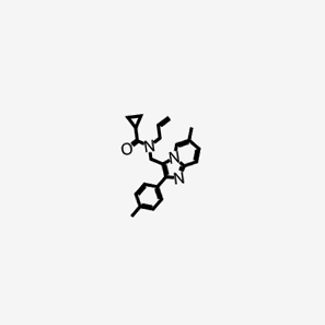 C=CCN(Cc1c(-c2ccc(C)cc2)nc2ccc(C)cn12)C(=O)C1CC1